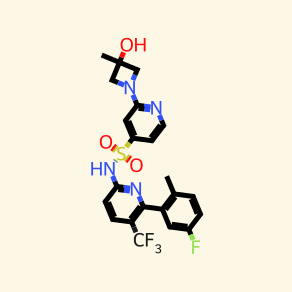 Cc1ccc(F)cc1-c1nc(NS(=O)(=O)c2ccnc(N3CC(C)(O)C3)c2)ccc1C(F)(F)F